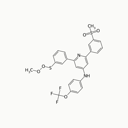 COOSc1cccc(-c2cc(Nc3ccc(OC(F)(F)F)cc3)cc(-c3cccc(S(C)(=O)=O)c3)n2)c1